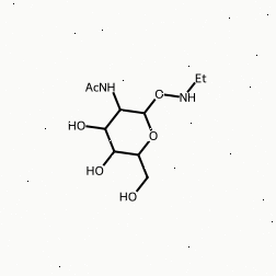 CCNOC1OC(CO)C(O)C(O)C1NC(C)=O